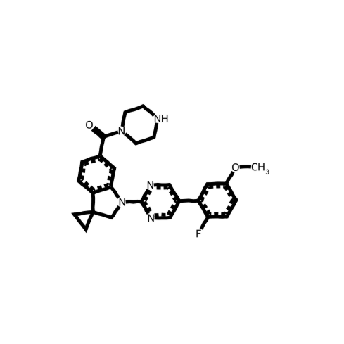 COc1ccc(F)c(-c2cnc(N3CC4(CC4)c4ccc(C(=O)N5CCNCC5)cc43)nc2)c1